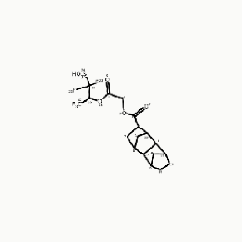 O=C(COC(=O)C1CC2CC1C1C3CCC(C3)C21)OC(C(F)(F)F)C(F)(F)S(=O)(=O)O